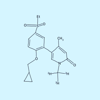 [2H]C([2H])([2H])n1cc(-c2cc(S(=O)(=O)CC)ccc2OCC2CC2)c(C)cc1=O